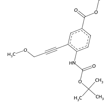 CCOC(=O)c1ccc(NC(=O)OC(C)(C)C)c(C#CCOC)c1